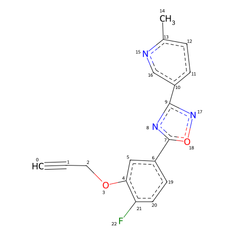 C#CCOc1cc(-c2nc(-c3ccc(C)nc3)no2)ccc1F